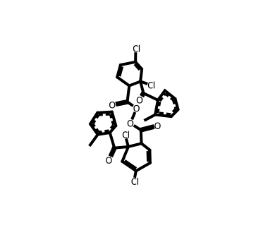 Cc1ccccc1C(=O)C1(Cl)C=C(Cl)C=CC1C(=O)OOC(=O)C1C=CC(Cl)=CC1(Cl)C(=O)c1ccccc1C